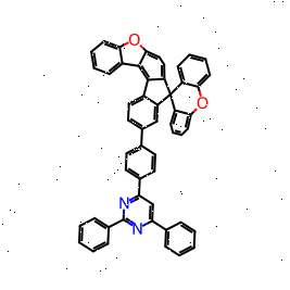 c1ccc(-c2cc(-c3ccc(-c4ccc5c(c4)C4(c6ccccc6Oc6ccccc64)c4ccc6oc7ccccc7c6c4-5)cc3)nc(-c3ccccc3)n2)cc1